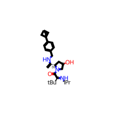 C=C(NCc1ccc(C23CC(C2)C3)cc1)[C@@H]1C[C@@H](O)CN1C(=O)[C@@H](NC(C)C)C(C)(C)C